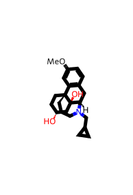 COc1ccc2c(c1)[C@]13CCCN(CC4CC4)[C@H](C2)[C@]1(O)C[C@H](O)CC3